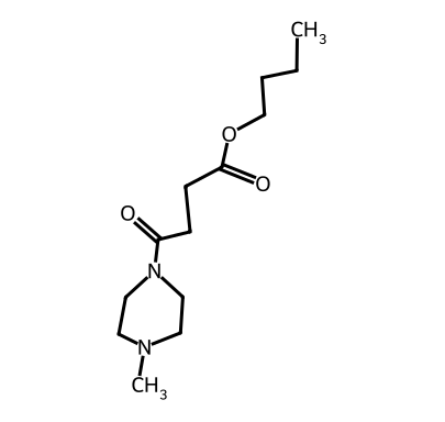 CCCCOC(=O)CCC(=O)N1CCN(C)CC1